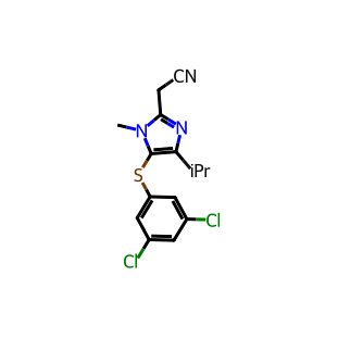 CC(C)c1nc(CC#N)n(C)c1Sc1cc(Cl)cc(Cl)c1